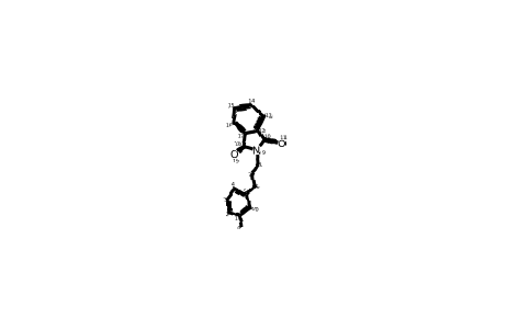 Cc1cccc(CCCN2C(=O)c3ccccc3C2=O)c1